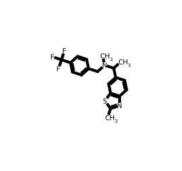 Cc1nc2ccc(C(C)N(C)Cc3ccc(C(F)(F)F)cc3)cc2s1